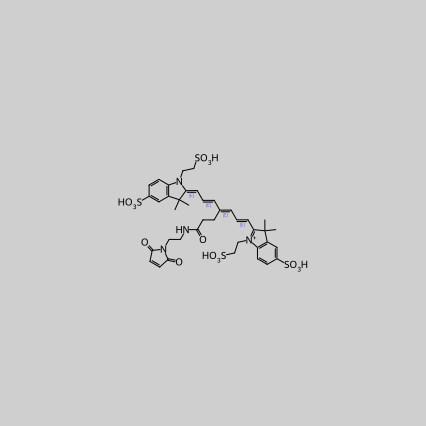 CC1(C)C(/C=C/C=C(/C=C/C=C2/N(CCS(=O)(=O)O)c3ccc(S(=O)(=O)O)cc3C2(C)C)CCC(=O)NCCN2C(=O)C=CC2=O)=[N+](CCS(=O)(=O)O)c2ccc(S(=O)(=O)O)cc21